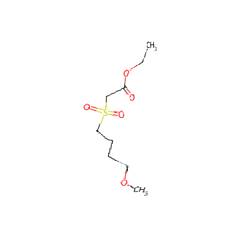 CCOC(=O)CS(=O)(=O)CCCCOC